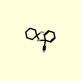 N#CC1(NC2(O)CCCCC2)C=C[CH]C=C1